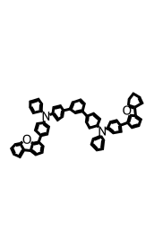 C1=Cc2c(oc3c(-c4ccc(N(c5ccccc5)C5C=CC(c6cccc(-c7ccc(N(c8ccccc8)c8ccc(-c9cccc%10c9oc9ccccc9%10)cc8)cc7)c6)=CC5)cc4)cccc23)CC1